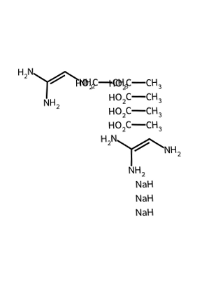 CC(=O)O.CC(=O)O.CC(=O)O.CC(=O)O.CC(=O)O.NC=C(N)N.NC=C(N)N.[NaH].[NaH].[NaH]